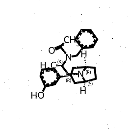 CC(=O)N(Cc1ccccc1)[C@H](C)CN1[C@@H]2CC[C@H]1C[C@@H](c1cccc(O)c1)C2